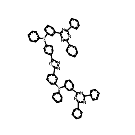 c1ccc(-c2nc(-c3ccccc3)nc(-c3cccc(N(c4ccccc4)c4ccc(-c5nnc(-c6cccc(N(c7ccccc7)c7cccc(-c8nc(-c9ccccc9)nc(-c9ccccc9)n8)c7)c6)o5)cc4)c3)n2)cc1